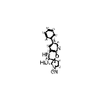 N#CN1CCC2(C1)Oc1ncc(-c3ccccc3)cc1NC2O